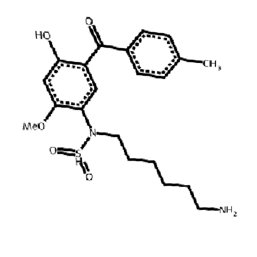 COc1cc(O)c(C(=O)c2ccc(C)cc2)cc1N(CCCCCCN)[SH](=O)=O